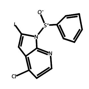 [O-][S+](c1ccccc1)n1c(I)cc2c(Cl)ccnc21